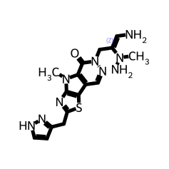 CN(N)/C(=C\N)Cn1ncc2c3sc(Cc4cc[nH]n4)nc3n(C)c2c1=O